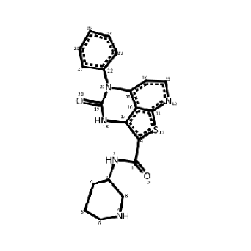 O=C(N[C@@H]1CCCNC1)c1sc2nccc3c2c1NC(=O)N3c1ccccc1